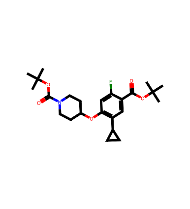 CC(C)(C)OC(=O)c1cc(C2CC2)c(OC2CCN(C(=O)OC(C)(C)C)CC2)cc1F